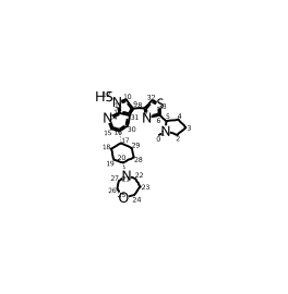 CN1CCCC1c1nc(-c2cn(S)c3ncc([C@H]4CC[C@@H](N5CCCOCC5)CC4)cc23)cs1